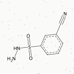 N#Cc1cccc(S(=O)(=O)NN)c1